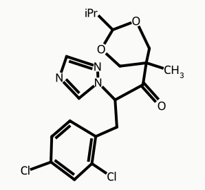 CC(C)C1OCC(C)(C(=O)C(Cc2ccc(Cl)cc2Cl)n2cncn2)CO1